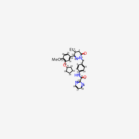 CCC1CC(=O)N(Cc2ccc(NC(=O)c3ncccn3)cc2)N=C1c1ccc(OC)c(OC2CCCC2)c1